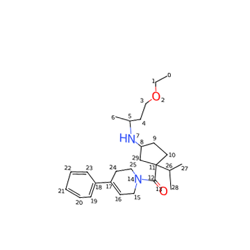 CCOCCC(C)NC1CCC(C(=O)N2CC=C(c3ccccc3)CC2)(C(C)C)C1